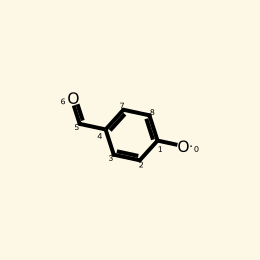 [O]c1ccc(C=O)cc1